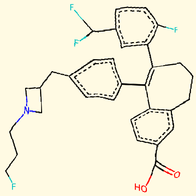 O=C(O)c1ccc2c(c1)CCCC(c1cc(C(F)F)ccc1F)=C2c1ccc(CC2CN(CCCF)C2)cc1